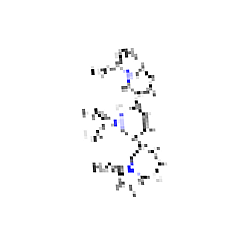 CC(C)N1CCC=C(C2C=CC(C3CCCCN(C(C)C)C3)CN(C(C)C)C2)C1